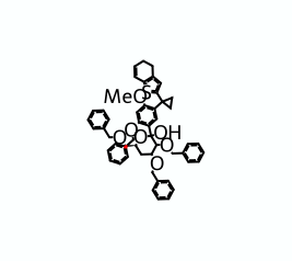 COc1cc(OCc2ccccc2)c(C2(O)O[C@H](COCc3ccccc3)C[C@H](OCc3ccccc3)C2OCc2ccccc2)cc1C1(c2cc3c(s2)C=CCC3)CC1